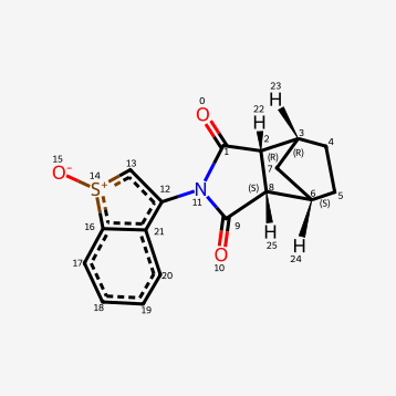 O=C1[C@@H]2[C@@H]3CC[C@@H](C3)[C@@H]2C(=O)N1c1c[s+]([O-])c2ccccc12